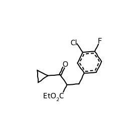 CCOC(=O)C(Cc1ccc(F)c(Cl)c1)C(=O)C1CC1